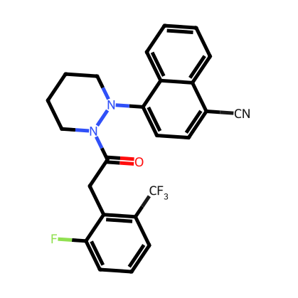 N#Cc1ccc(N2CCCCN2C(=O)Cc2c(F)cccc2C(F)(F)F)c2ccccc12